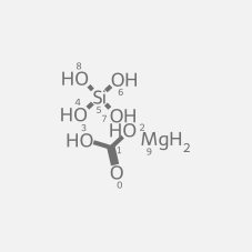 O=C(O)O.O[Si](O)(O)O.[MgH2]